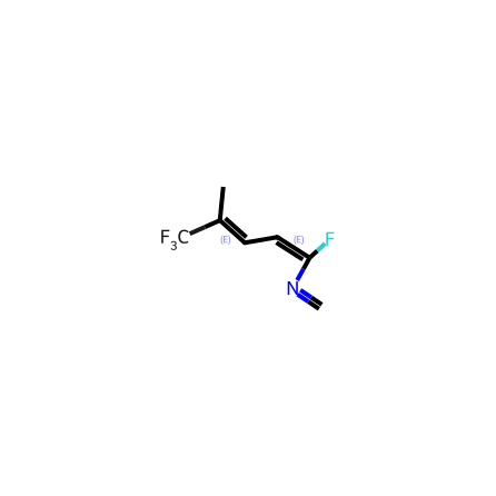 C=N/C(F)=C\C=C(/C)C(F)(F)F